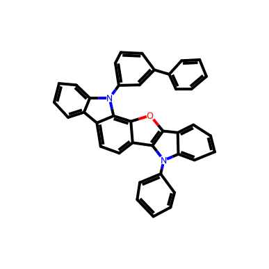 c1ccc(-c2cccc(-n3c4ccccc4c4ccc5c(oc6c7ccccc7n(-c7ccccc7)c56)c43)c2)cc1